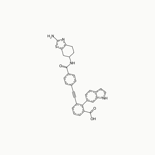 Nc1nc2c(s1)CC(NC(=O)c1ccc(C#Cc3cccc(C(=O)O)c3-c3ccc4cc[nH]c4c3)cc1)CC2